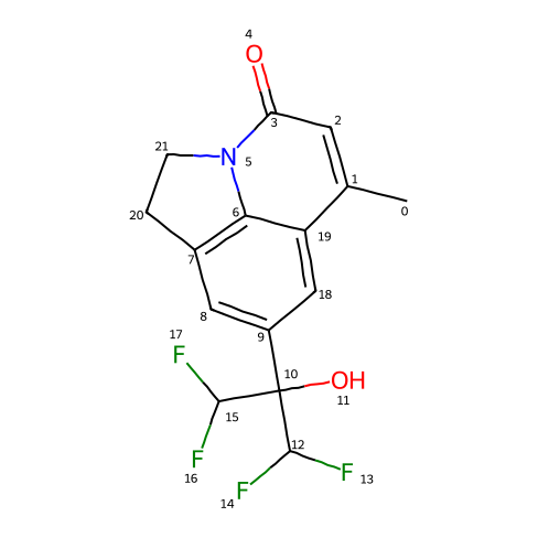 Cc1cc(=O)n2c3c(cc(C(O)(C(F)F)C(F)F)cc13)CC2